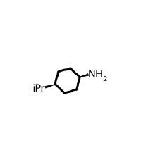 CC(C)[C@H]1CC[C@@H](N)CC1